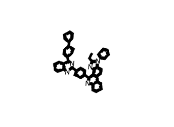 CCc1nc2c3c(-c4ccc(-c5nc(-c6ccc(-c7ccccc7)cc6)c6ccccc6n5)cc4)nc4ccccc4c3ccc2n1-c1ccccc1